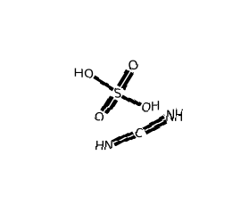 N=C=N.O=S(=O)(O)O